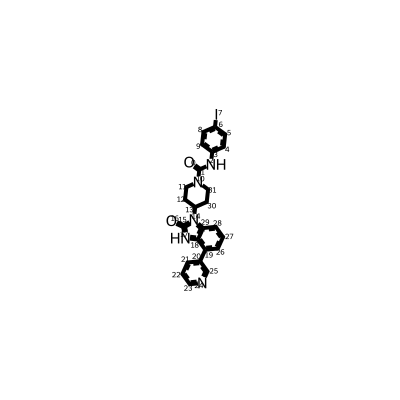 O=C(Nc1ccc(I)cc1)N1CCC(n2c(=O)[nH]c3c(-c4cccnc4)cccc32)CC1